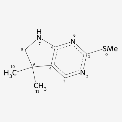 CSc1ncc2c(n1)NCC2(C)C